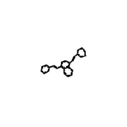 C(=Cc1ccc(C=Cc2ccccc2)c2ccccc12)c1ccccc1